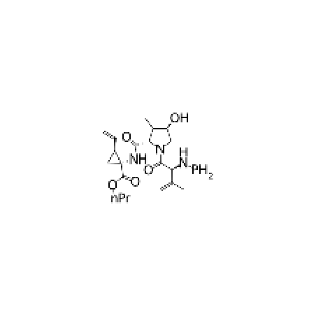 C=C[C@@H]1C[C@]1(NC(=O)[C@@H]1C(C)[C@@H](O)CN1C(=O)[C@@H](NP)C(=C)C)C(=O)OCCC